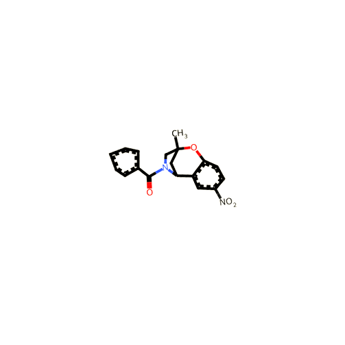 CC12CC(c3cc([N+](=O)[O-])ccc3O1)N(C(=O)c1ccccc1)C2